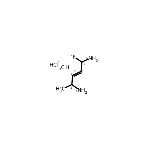 CC(N)/C=C/C(N)F.Cl.Cl